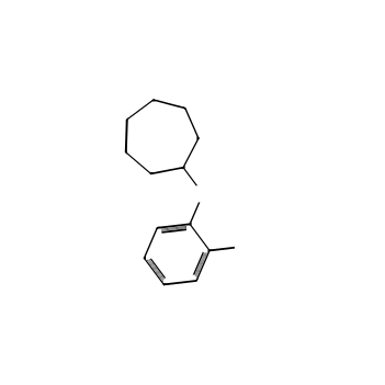 Oc1ccccc1OC1CCCCCC1